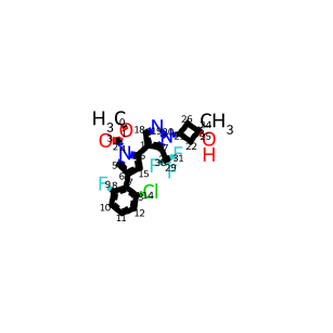 COC(=O)n1cc(-c2c(F)cccc2Cl)cc1-c1cnn(C2CC(C)(O)C2)c1C(F)(F)F